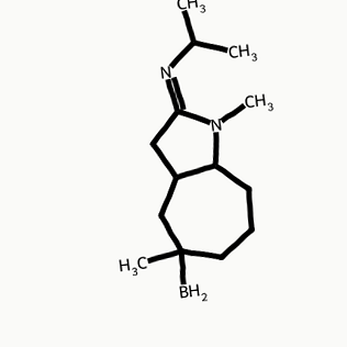 BC1(C)CCCC2C(C/C(=N/C(C)C)N2C)C1